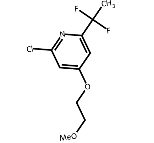 COCCOc1cc(Cl)nc(C(C)(F)F)c1